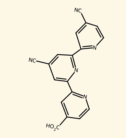 N#Cc1ccnc(-c2cc(C#N)cc(-c3cc(C(=O)O)ccn3)n2)c1